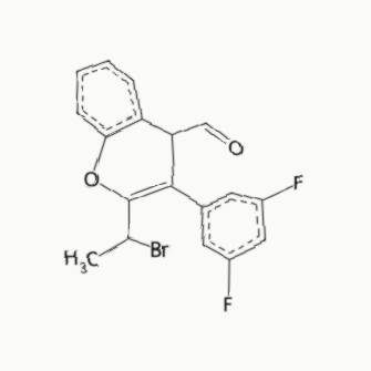 CC(Br)C1=C(c2cc(F)cc(F)c2)C(C=O)c2ccccc2O1